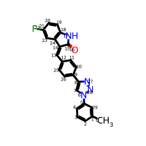 Cc1cccc(-n2cc(-c3ccc(/C=C4\C(=O)Nc5ccc(F)cc54)cc3)nn2)c1